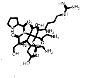 N=C(N)NCCCC(N)C(=O)C(SC(=O)CN)(C(=O)CN)C(C(=O)O)(C(=O)C(N)CC(=O)O)N(C(=O)C(N)CO)C(=O)C1CCCN1